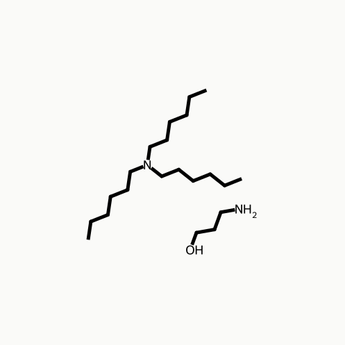 CCCCCCN(CCCCCC)CCCCCC.NCCCO